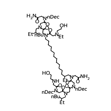 CCCCCCCCCCN(CC(N)=O)C(=O)CN(CC(CC)CCCC)C(=O)CN(CCCCCCCCCCCCCC(CC)CN(CC(N)=O)C(=O)CN(CCCCCCCCCC)C(=O)CN(CC(CC)CCCC)C(=O)CN(CCCCCCCCCC)C(=O)CNCCO)C(=O)CN(CC)CCO